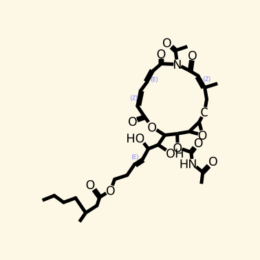 CCCCC(C)CC(=O)OCC/C=C/C(O)C(O)C1OC(=O)/C=C\C=C\C(=O)N(C(C)=O)C(=O)/C=C(/C)CCC2OC2C1OC(=O)NC(C)=O